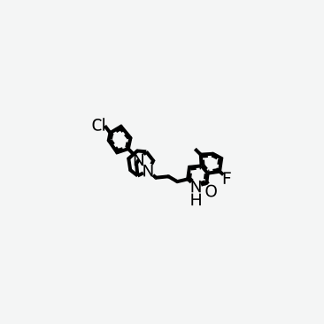 Cc1ccc(F)c2c(=O)[nH]c(CCCN3CC4CCCC3CN4c3ccc(Cl)cc3)cc12